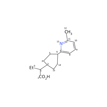 CCC(C(=O)O)C1CCC(c2cccc(C)n2)CC1